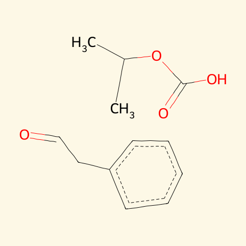 CC(C)OC(=O)O.O=CCc1ccccc1